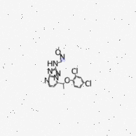 CO/N=C\Nc1nc2nccc(C(C)Oc3ccc(Cl)cc3Cl)n2n1